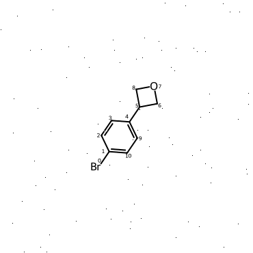 Brc1ccc([C]2COC2)cc1